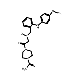 COc1ccc(Nc2ccccc2C[S+]([O-])CC(=O)N2CCN(C(C)=O)CC2)cc1